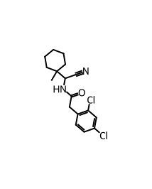 CC1(C(C#N)NC(=O)Cc2ccc(Cl)cc2Cl)CCCCC1